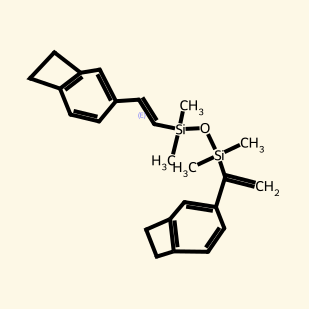 C=C(c1ccc2c(c1)CC2)[Si](C)(C)O[Si](C)(C)/C=C/c1ccc2c(c1)CC2